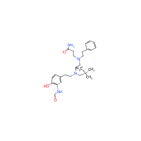 CC(C)(C)CN(CCc1ccc(O)c(NC=O)c1)CCN(CCC(N)=O)CCc1ccccc1